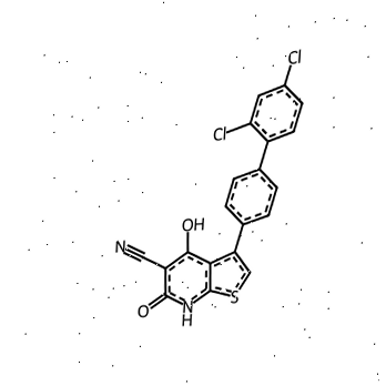 N#Cc1c(O)c2c(-c3ccc(-c4ccc(Cl)cc4Cl)cc3)csc2[nH]c1=O